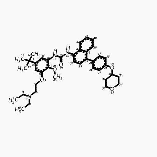 CCN(CC)CCOc1cc(C(C)(C)C)cc(NC(=O)Nc2ccc(-c3ccc(OC4CCOCC4)cc3)c3ccccc23)c1OC